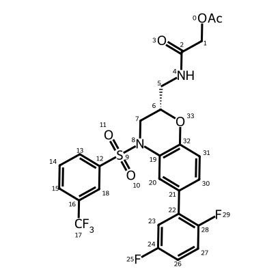 CC(=O)OCC(=O)NC[C@H]1CN(S(=O)(=O)c2cccc(C(F)(F)F)c2)c2cc(-c3cc(F)ccc3F)ccc2O1